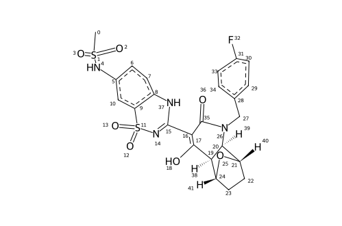 CS(=O)(=O)Nc1ccc2c(c1)S(=O)(=O)N=C(C1=C(O)[C@H]3[C@H]([C@@H]4CC[C@H]3O4)N(Cc3ccc(F)cc3)C1=O)N2